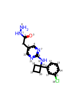 NNC(=O)Cc1cnc(NC2(c3cccc(Cl)c3)CCC2)nc1